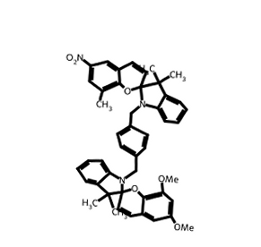 COc1cc2c(c(OC)c1)OC1(C=C2)N(Cc2ccc(CN3c4ccccc4C(C)(C)C34C=Cc3cc([N+](=O)[O-])cc(C)c3O4)cc2)c2ccccc2C1(C)C